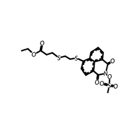 CCOC(=O)CCSCCSc1ccc2c3c(cccc13)C(=O)N(OS(C)(=O)=O)C2=O